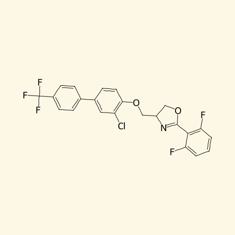 Fc1cccc(F)c1C1=NC(COc2ccc(-c3ccc(C(F)(F)F)cc3)cc2Cl)CO1